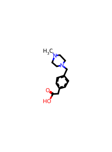 CN1CCN(Cc2ccc(CC(=O)O)cc2)CC1